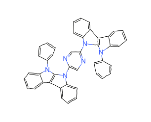 c1ccc(-n2c3ccccc3c3c4ccccc4n(-c4cnc(-n5c6ccccc6c6c7ccccc7n(-c7ccccc7)c65)cn4)c32)cc1